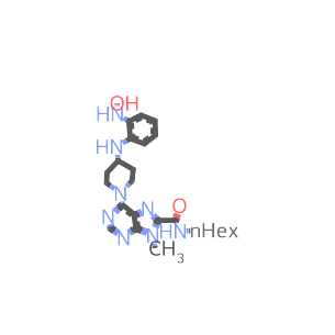 CCCCCCNC(=O)c1nc2c(N3CCC(Nc4ccccc4NO)CC3)ncnc2n1C